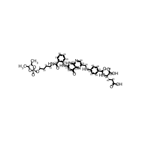 CCOP(=O)(OCC)OCCCCNC(=O)c1ccccc1Nc1nc(=O)c2nc(CNc3ccc(C(=O)N[C@@H](CCC(=O)O)C(=O)O)cc3)cnc2[nH]1